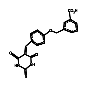 O=C1NC(=S)NC(=O)C1=Cc1ccc(OCc2cccc(C(=O)O)c2)cc1